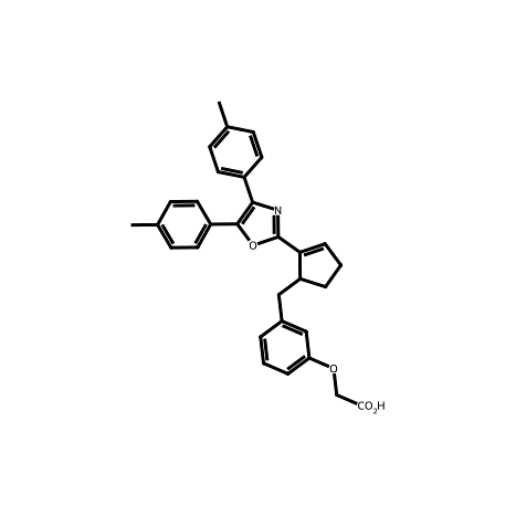 Cc1ccc(-c2nc(C3=CCCC3Cc3cccc(OCC(=O)O)c3)oc2-c2ccc(C)cc2)cc1